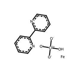 [Fe].[O-][Cl+3]([O-])([O-])O.c1ccc(-c2ccccn2)nc1